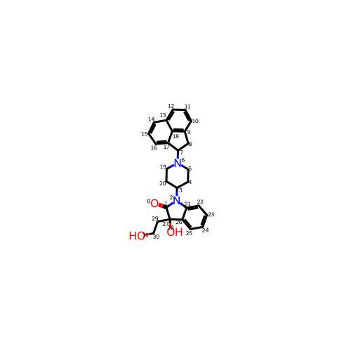 O=C1N(C2CCN(C3Cc4cccc5cccc3c45)CC2)c2ccccc2C1(O)CCO